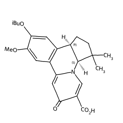 COc1cc2c(cc1OCC(C)C)[C@H]1CCC(C)(C)[C@H]1n1cc(C(=O)O)c(=O)cc1-2